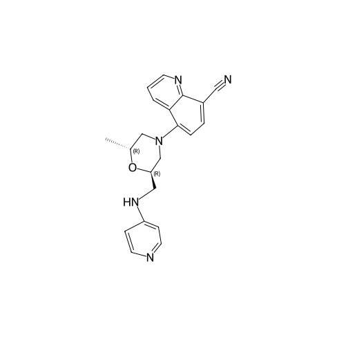 C[C@@H]1CN(c2ccc(C#N)c3ncccc23)C[C@@H](CNc2ccncc2)O1